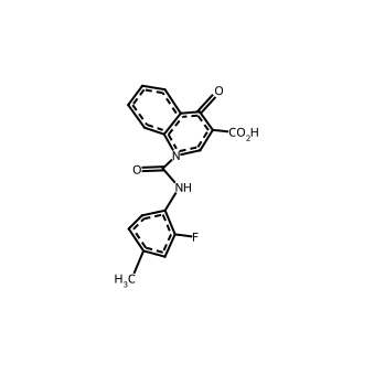 Cc1ccc(NC(=O)n2cc(C(=O)O)c(=O)c3ccccc32)c(F)c1